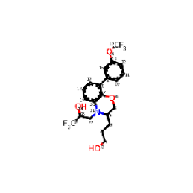 OCCCC1COc2c(-c3cccc(OC(F)(F)F)c3)cccc2N1CC(O)C(F)(F)F